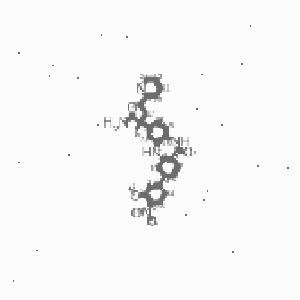 COc1cc(-c2ccc3c(c2)Nc2cc(C(C)(CCc4ccccn4)C(N)=O)ccc2NC3=O)ccc1[N+](=O)[O-]